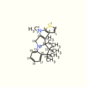 Cn1c2c(c3ccsc31)C1(C)N(C2)c2ccccc2C(C)(C)C1(C)C